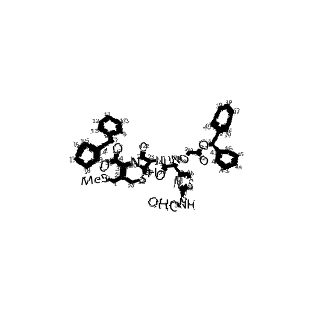 CSCC1=C(C(=O)OC(c2ccccc2)c2ccccc2)N2C(=O)C(NC(=O)C(=NOCC(=O)OC(c3ccccc3)c3ccccc3)c3csc(NC=O)n3)[C@@H]2SC1